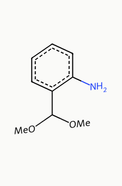 COC(OC)c1ccccc1N